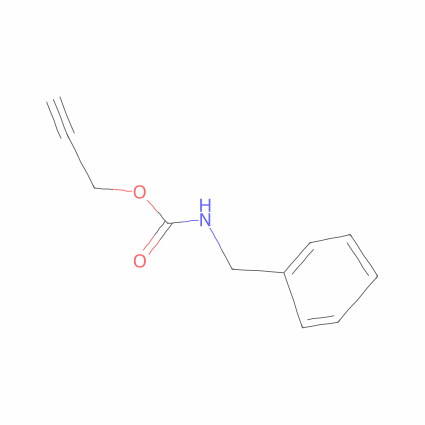 C#CCOC(=O)NCc1ccccc1